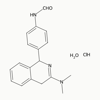 CN(C)C1=NC(c2ccc(NC=O)cc2)c2ccccc2C1.Cl.O